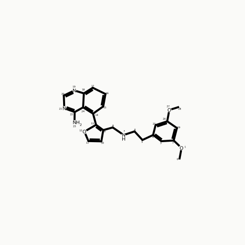 COc1cc(CCNCc2ccoc2-c2cccc3ncnc(N)c23)cc(OC)c1